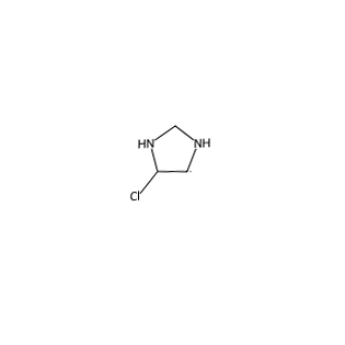 ClC1[CH]NCN1